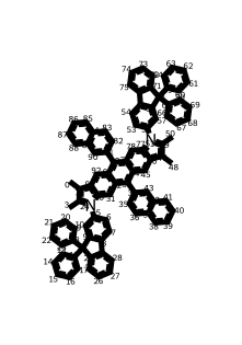 Cc1c(C)n(-c2ccc3c(c2)C(c2ccccc2)(c2ccccc2)c2ccccc2-3)c2cc3c(-c4ccc5ccccc5c4)c4cc5c(C)c(C)n(-c6ccc7c(c6)C(c6ccccc6)(c6ccccc6)c6ccccc6-7)c5cc4c(-c4ccc5ccccc5c4)c3cc12